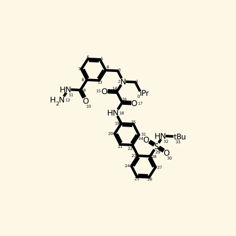 CC(C)CN(Cc1cccc(C(=O)NN)c1)C(=O)C(=O)Nc1ccc(-c2ccccc2S(=O)(=O)NC(C)(C)C)cc1